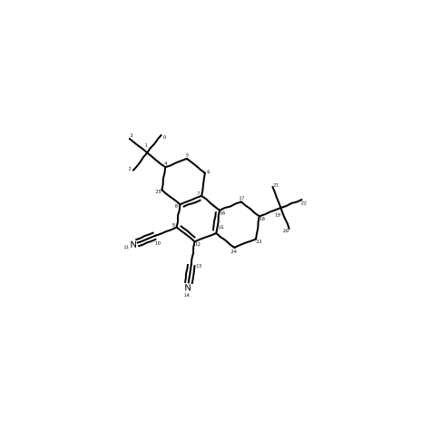 CC(C)(C)C1CCc2c(c(C#N)c(C#N)c3c2CC(C(C)(C)C)CC3)C1